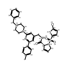 Cc1ccc(-c2cc(CNC(=O)[C@@H]3C=CCN3S(=O)(=O)c3ccc(Cl)s3)cc(N3CCN(Cc4ccccc4)CC3)n2)cc1